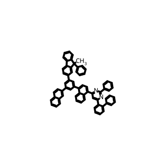 CC1(c2ccccc2)c2ccccc2-c2ccc(-c3cc(-c4ccc5ccccc5c4)cc(-c4ccc(-c5cc(-c6ccccc6-c6ccccc6)nc(-c6ccccc6)n5)c5ccccc45)c3)cc21